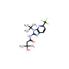 CC(C)(O)CC(=O)Nc1nc2ccc(C(F)(F)F)nc2n1C(C)(C)C